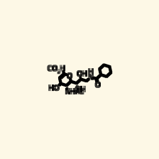 CC(=O)N[C@@H]1C(O)C=C(C(=O)O)OC1[C@@H](O)[C@@H](O)CNC(=O)C1CCCCC1